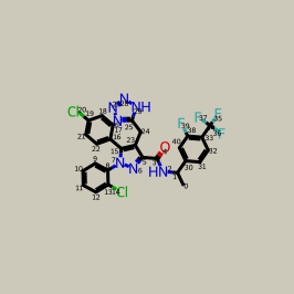 CC(NC(=O)c1nn(-c2ccccc2Cl)c(-c2ccc(Cl)cc2)c1Cc1nnn[nH]1)c1ccc(C(F)(F)F)c(F)c1